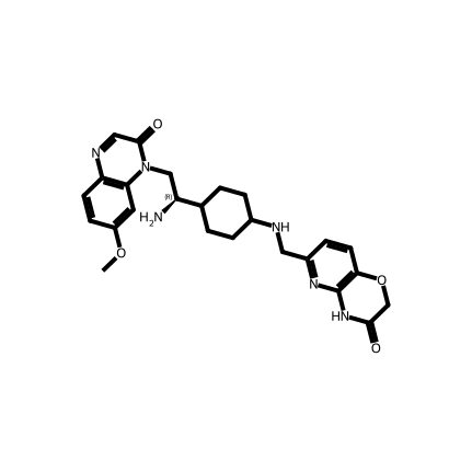 COc1ccc2ncc(=O)n(C[C@H](N)C3CCC(NCc4ccc5c(n4)NC(=O)CO5)CC3)c2c1